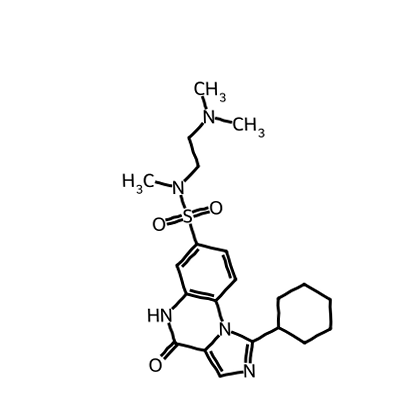 CN(C)CCN(C)S(=O)(=O)c1ccc2c(c1)[nH]c(=O)c1cnc(C3CCCCC3)n12